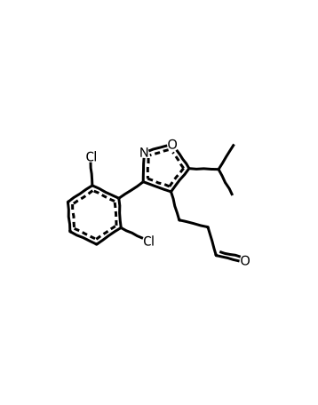 CC(C)c1onc(-c2c(Cl)cccc2Cl)c1CCC=O